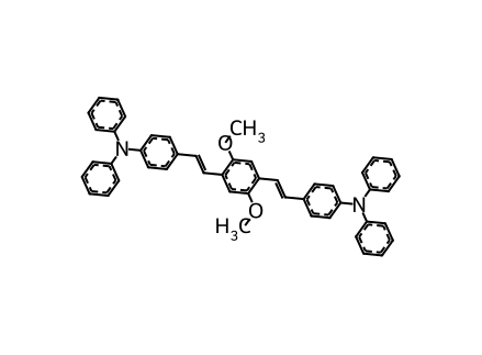 COc1cc(C=Cc2ccc(N(c3ccccc3)c3ccccc3)cc2)c(OC)cc1C=Cc1ccc(N(c2ccccc2)c2ccccc2)cc1